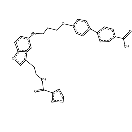 O=C(O)c1ccc(-c2ccc(OCCCNc3ccc4occ(CCNC(=O)c5ccco5)c4c3)cc2)cc1